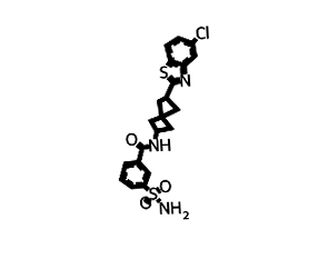 NS(=O)(=O)c1cccc(C(=O)NC2CC3(C2)CC(c2nc4cc(Cl)ccc4s2)C3)c1